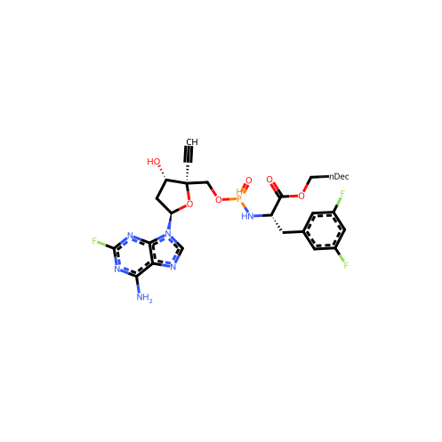 C#C[C@]1(CO[PH](=O)N[C@@H](Cc2cc(F)cc(F)c2)C(=O)OCCCCCCCCCCC)O[C@@H](n2cnc3c(N)nc(F)nc32)C[C@@H]1O